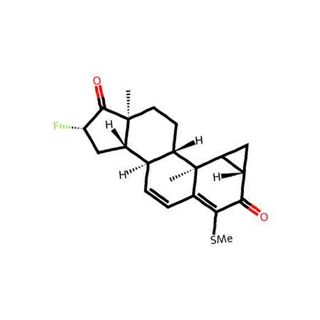 CSC1=C2C=C[C@H]3[C@@H]4C[C@H](F)C(=O)[C@@]4(C)CC[C@@H]3[C@@]2(C)C2C[C@@H]2C1=O